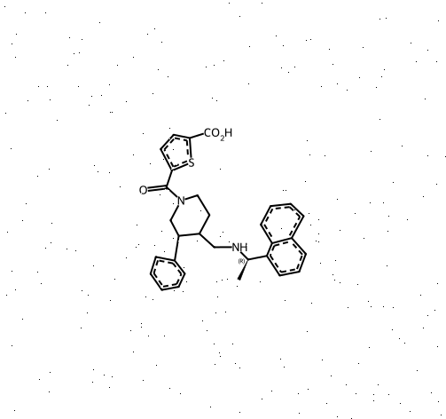 C[C@@H](NCC1CCN(C(=O)c2ccc(C(=O)O)s2)CC1c1ccccc1)c1cccc2ccccc12